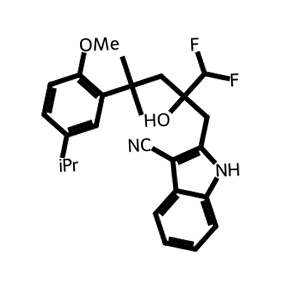 COc1ccc(C(C)C)cc1C(C)(C)CC(O)(Cc1[nH]c2ccccc2c1C#N)C(F)F